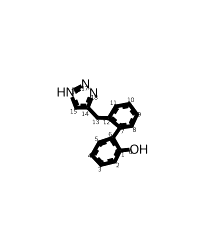 Oc1ccccc1-c1ccccc1Cc1c[nH]nn1